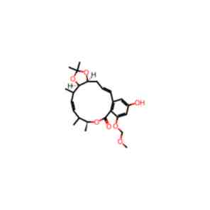 COCOc1cc(O)cc2c1C(=O)O[C@@H](C)C(C)/C=C\C(C)[C@H]1OC(C)(C)O[C@H]1C/C=C/2